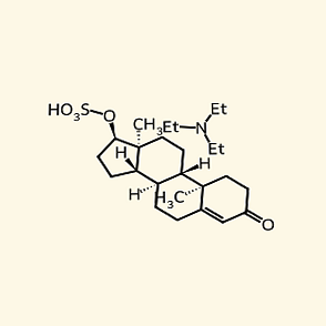 CCN(CC)CC.C[C@]12CC[C@H]3[C@@H](CCC4=CC(=O)CC[C@@]43C)[C@@H]1CC[C@H]2OS(=O)(=O)O